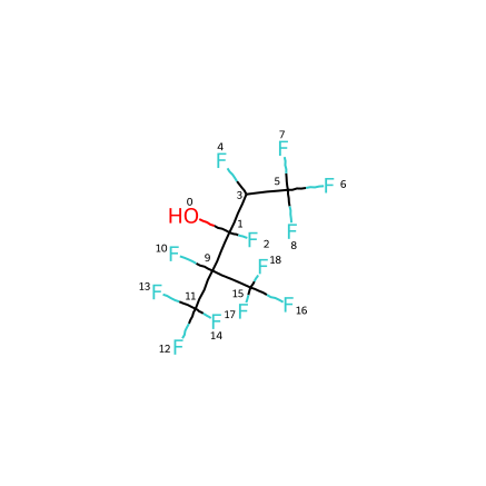 OC(F)(C(F)C(F)(F)F)C(F)(C(F)(F)F)C(F)(F)F